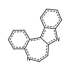 c1ccc2c3c4ccccc4nc-3ccnc2c1